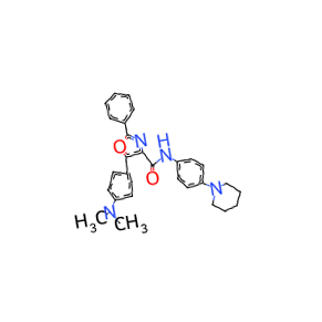 CN(C)c1ccc(-c2oc(-c3ccccc3)nc2C(=O)Nc2ccc(N3CCCCC3)cc2)cc1